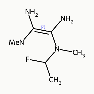 CN/C(N)=C(/N)N(C)C(C)F